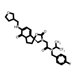 CC(N(Cc1ccc(F)cc1)C(=O)CN1C[C@]2(CCC3C(=O)C(NCC4CCOC4)=CC=C32)OC1=O)C(F)(F)F